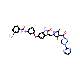 Cc1[nH]c(C=C2C(=O)Nc3cc(Oc4cccc(NC(=O)c5cccc(C(F)(F)F)c5)c4)ccc32)c(C)c1C(=O)N1CCN(c2ncccn2)CC1